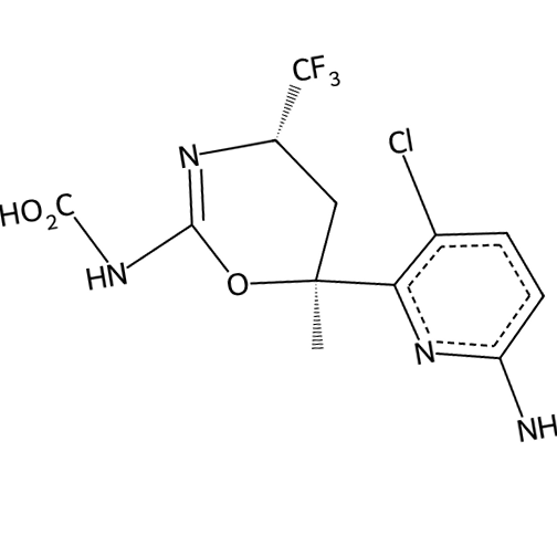 C[C@@]1(c2nc(N)ccc2Cl)C[C@@H](C(F)(F)F)N=C(NC(=O)O)O1